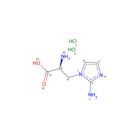 Cl.Cl.Nc1nccn1C[C@H](N)C(=O)O